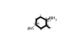 CC(C)[C@@H]1CC[C@@H](N)C(C)C1